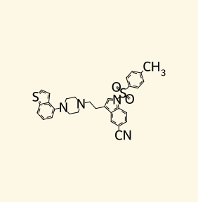 Cc1ccc(S(=O)(=O)n2cc(CCN3CCN(c4cccc5sccc45)CC3)c3cc(C#N)ccc32)cc1